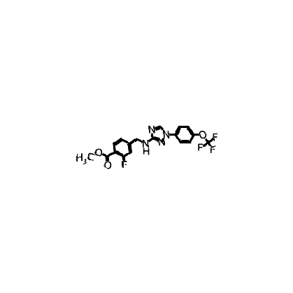 COC(=O)c1ccc(CNc2ncn(-c3ccc(OC(F)(F)F)cc3)n2)cc1F